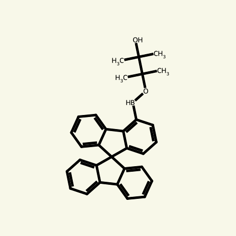 CC(C)(O)C(C)(C)OBc1cccc2c1-c1ccccc1C21c2ccccc2-c2ccccc21